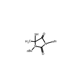 CCCCN1C(=O)N(CCC)C(=O)C1(C)S